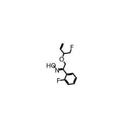 C=CC(CF)OCC(=NO)c1ccccc1F